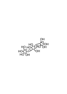 OCC1OC(COCC2C(CO)OC(COCC3[C@H](O)C(O)C(O)O[C@H]3CO)C(O)C2O)C(O)C(O)C1O